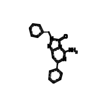 Nc1nc(-c2ccccc2)cc2nn(Cc3ccccc3)c(=O)n12